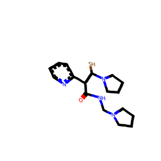 O=C(NCN1CCCC1)C(c1ccccn1)C(S)N1CCCC1